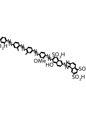 COc1cc(N=Nc2ccc(N=Nc3ccc(N=Nc4ccccc4S(=O)(=O)O)cc3C)c(C)c2)ccc1N=Nc1c(S(=O)(=O)O)cc2cc(-n3nc4ccc5c(S(=O)(=O)O)cc(S(=O)(=O)O)cc5c4n3)ccc2c1O